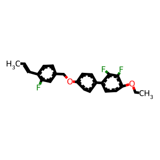 C/C=C/c1ccc(COc2ccc(-c3ccc(OCC)c(F)c3F)cc2)cc1F